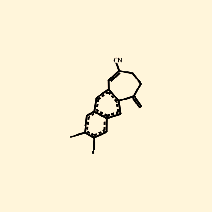 C=C1CCC(C#N)=Cc2cc3cc(C)c(C)cc3cc21